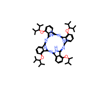 CC(C)C(C)Oc1cccc2/c3[nH]/c(c12)=N\C1N/C(=N\c2[nH]c(c4c(OC(C(C)C)C(C)C)cccc24)/N=C2N=C(/N=3)c3c(OC(C(C)C)C(C)C)cccc3\2)c2c(OC(C(C)C)C(C)C)cccc21